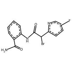 NC(=O)c1ccccc1NC(=O)C(Br)c1ccc(F)cn1